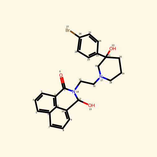 O=C1c2cccc3cccc(c23)C(O)N1CCN1CCCC(O)(c2ccc(Br)cc2)C1